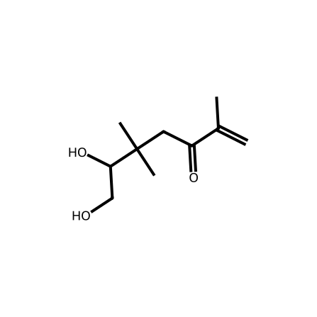 C=C(C)C(=O)CC(C)(C)C(O)CO